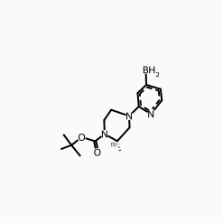 Bc1ccnc(N2CCN(C(=O)OC(C)(C)C)[C@@H](C)C2)c1